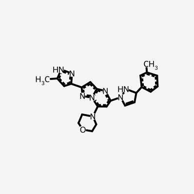 Cc1cccc(C2C=CN(c3cc(N4CCOCC4)n4nc(-c5cc(C)[nH]n5)cc4n3)N2)c1